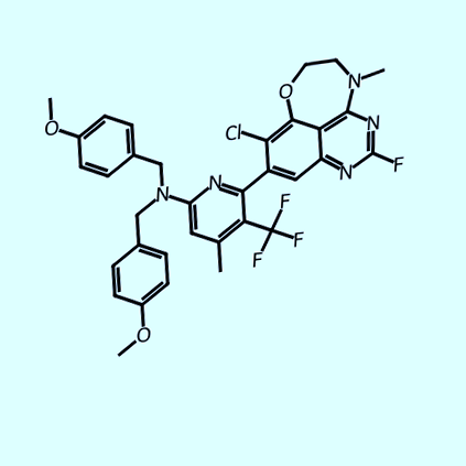 COc1ccc(CN(Cc2ccc(OC)cc2)c2cc(C)c(C(F)(F)F)c(-c3cc4nc(F)nc5c4c(c3Cl)OCCN5C)n2)cc1